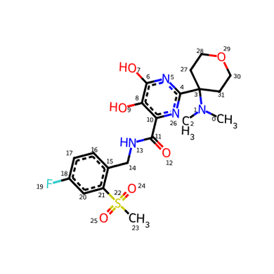 CN(C)C1(c2nc(O)c(O)c(C(=O)NCc3ccc(F)cc3S(C)(=O)=O)n2)CCOCC1